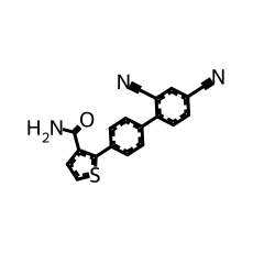 N#Cc1ccc(-c2ccc(-c3sccc3C(N)=O)cc2)c(C#N)c1